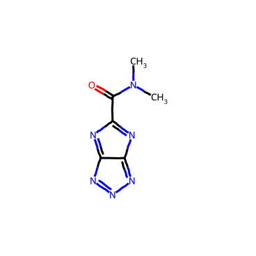 CN(C)C(=O)C1=NC2=NN=NC2=N1